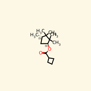 C[C@H]1C[C@H](OC(=O)C2CCC2)C(C)(C)C1(C)C